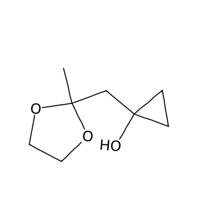 CC1(CC2(O)CC2)OCCO1